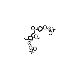 CCOc1cc(OCOC(=O)C(C)(C)C)c(CC)cc1C=CC(=O)c1ccc(OCOC(=O)C(C)(C)C)cc1